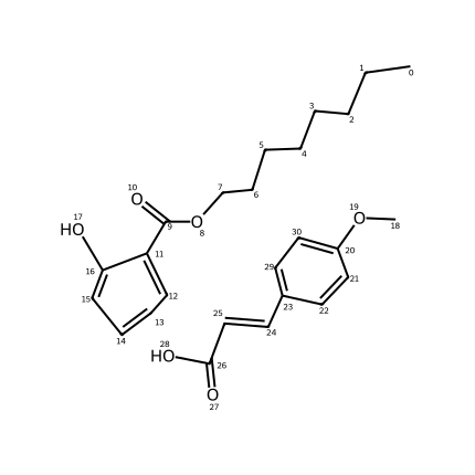 CCCCCCCCOC(=O)c1ccccc1O.COc1ccc(C=CC(=O)O)cc1